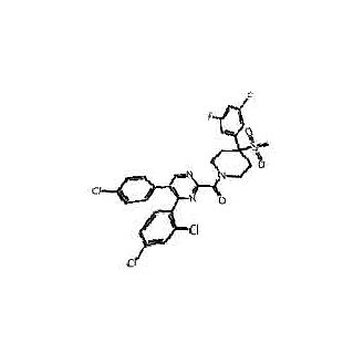 CS(=O)(=O)C1(c2cc(F)cc(F)c2)CCN(C(=O)c2ncc(-c3ccc(Cl)cc3)c(-c3ccc(Cl)cc3Cl)n2)CC1